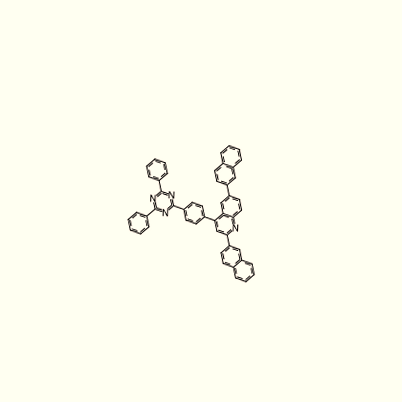 c1ccc(-c2nc(-c3ccccc3)nc(-c3ccc(-c4cc(-c5ccc6ccccc6c5)nc5ccc(-c6ccc7ccccc7c6)cc45)cc3)n2)cc1